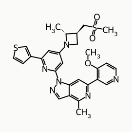 COc1ccncc1-c1cc2c(cnn2-c2cc(N3C[C@H](CS(C)(=O)=O)[C@H]3C)cc(-c3ccsc3)n2)c(C)n1